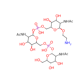 CC(=O)NC1C(O)[C@H](O)C(CO)O[C@@H]1OP(=O)(O)OCC1O[C@H](OP(=O)(O)OCC2O[C@H](OCCN)C(NC(C)=O)C(O)[C@@H]2O)C(NC(C)=O)C(O)[C@@H]1O